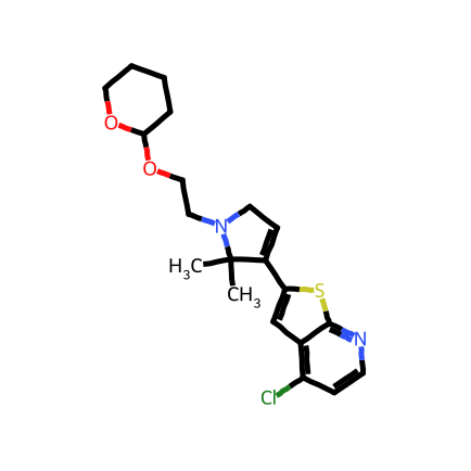 CC1(C)C(c2cc3c(Cl)ccnc3s2)=CCN1CCOC1CCCCO1